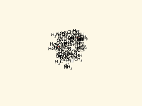 CC[C@H](C)[C@H](NC(=O)[C@H](CCC(=O)O)NC(=O)[C@H](CCC(=O)O)NC(=O)[C@@H](NC(=O)C(N)CCCCN)[C@@H](C)O)C(=O)N[C@@H](CO)C(=O)N[C@@H](CCC(=O)O)C(=O)N[C@H](C(=O)N[C@@H](CC(N)=O)C(=O)N[C@@H](C(C)C)[C@@H](O)CC(=O)N[C@H](C(=O)N[C@@H](C)C(=O)N[C@@H](CCC(=O)O)C(=O)N[C@@H](Cc1ccccc1)C(=O)O)C(C)C)C(C)C